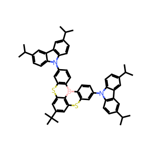 CC(C)c1ccc2c(c1)c1cc(C(C)C)ccc1n2-c1ccc2c(c1)Sc1cc(C(C)(C)C)cc3c1B2c1ccc(-n2c4ccc(C(C)C)cc4c4cc(C(C)C)ccc42)cc1S3